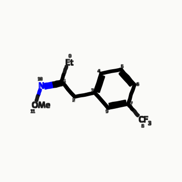 CC/C(Cc1cccc(C(F)(F)F)c1)=N/OC